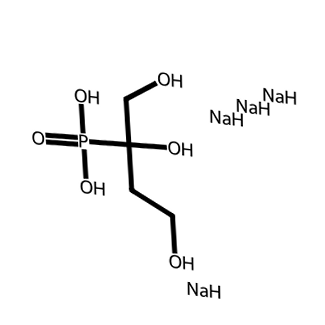 O=P(O)(O)C(O)(CO)CCO.[NaH].[NaH].[NaH].[NaH]